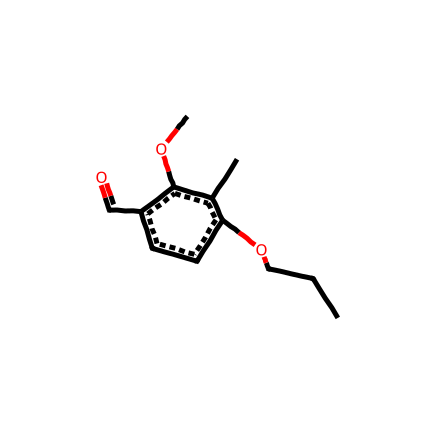 CCCOc1ccc(C=O)c(OC)c1C